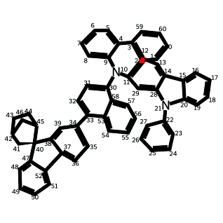 c1ccc(-c2ccccc2N(c2ccc3c4ccccc4n(-c4ccccc4)c3c2)c2ccc(-c3ccc4c(c3)[C@]3(CC5CCC3C5)c3ccccc3-4)c3ccccc23)cc1